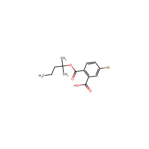 CCCC(C)(C)OC(=O)c1ccc(Br)cc1C(=O)O